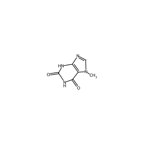 Cn1[c]nc2[nH]c(=O)[nH]c(=O)c21